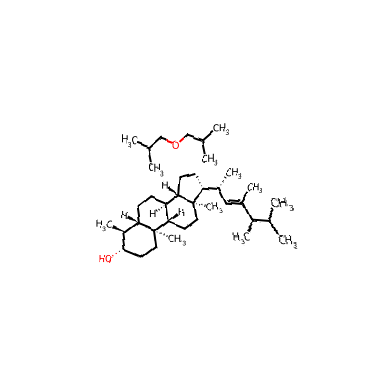 C/C(=C\[C@@H](C)[C@H]1CC[C@H]2[C@@H]3CC[C@H]4[C@H](C)[C@@H](O)CC[C@]4(C)[C@H]3CC[C@]12C)[C@H](C)C(C)C.CC(C)COCC(C)C